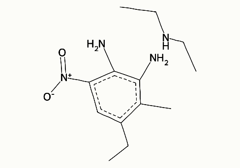 CCNCC.CCc1cc([N+](=O)[O-])c(N)c(N)c1C